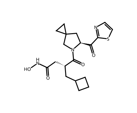 O=C(C[C@@H](CC1CCC1)C(=O)N1CC2(CC2)C[C@H]1C(=O)c1nccs1)NO